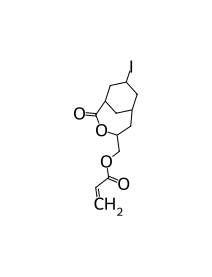 C=CC(=O)OCC1CC2CC(I)CC(C2)C(=O)O1